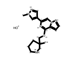 Cl.Cn1cc(-c2cn3nccc3c(OCC3(F)CCCNC3)n2)cn1